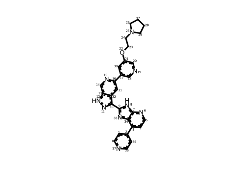 c1cc(-c2ccnc3[nH]c(-c4n[nH]c5cnc(-c6cncc(OCCN7CCCC7)c6)cc45)nc23)ccn1